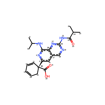 CC(C)Nc1nc([C@]2(C(=O)O)C=CC=CC2)cc2cnc(NC(=O)C(C)C)nc12